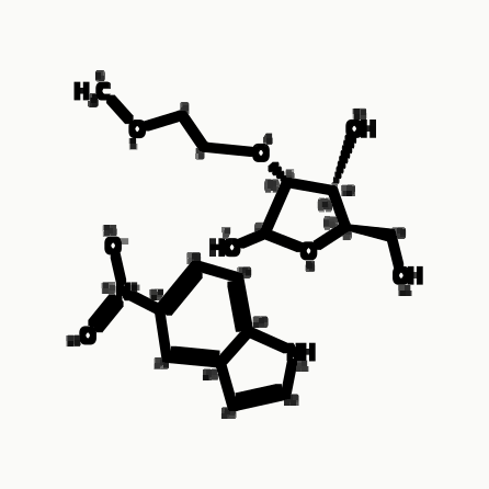 COCCO[C@H]1C(O)O[C@H](CO)[C@H]1O.O=[N+]([O-])c1ccc2[nH]ccc2c1